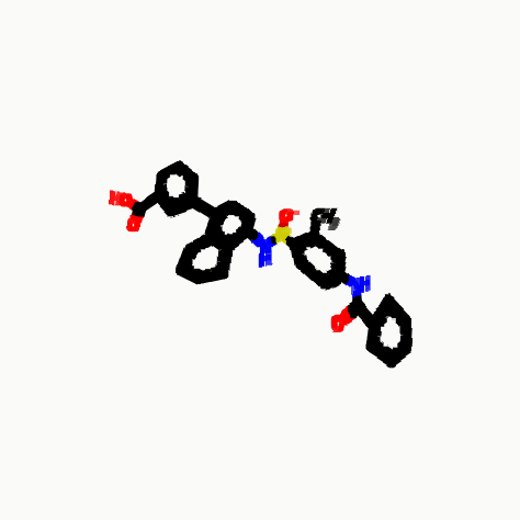 Cc1cc(NC(=O)c2ccccc2)ccc1[S+]([O-])Nc1ccc(-c2cccc(C(=O)O)c2)c2ccccc12